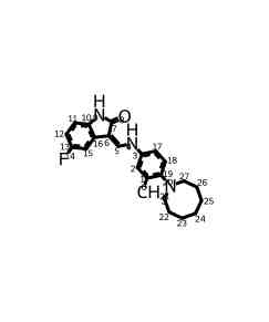 Cc1cc(NC=C2C(=O)Nc3ccc(F)cc32)ccc1N1CCCCCCC1